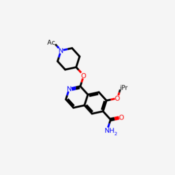 CC(=O)N1CCC(Oc2nccc3cc(C(N)=O)c(OC(C)C)cc23)CC1